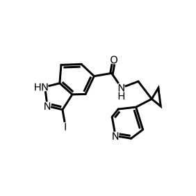 O=C(NCC1(c2ccncc2)CC1)c1ccc2[nH]nc(I)c2c1